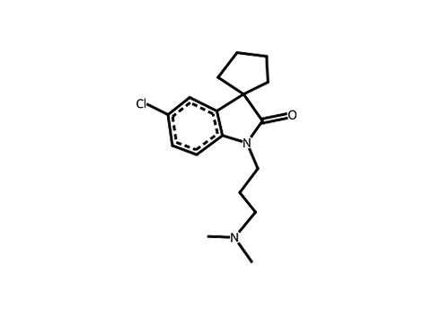 CN(C)CCCN1C(=O)C2(CCCC2)c2cc(Cl)ccc21